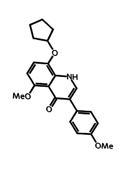 COc1ccc(-c2c[nH]c3c(OC4CCCC4)ccc(OC)c3c2=O)cc1